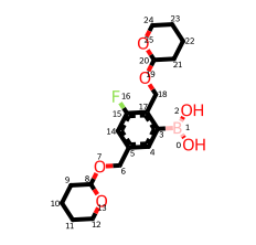 OB(O)c1cc(COC2CCCCO2)cc(F)c1COC1CCCCO1